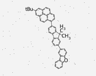 CC(C)(C)c1cc2ccc3ccc(-c4ccc5c(c4)C(C)(C)c4cc(-c6ccc7oc8ccccc8c7c6)ccc4-5)c4ccc(c1)c2c34